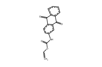 C=COC(=O)Nc1ccc2c(c1)C(=O)c1ccccc1C2=O